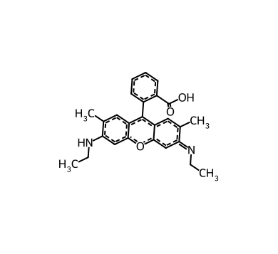 CC/N=c1\cc2oc3cc(NCC)c(C)cc3c(-c3ccccc3C(=O)O)c-2cc1C